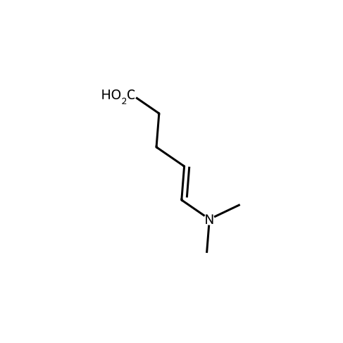 CN(C)C=CCCC(=O)O